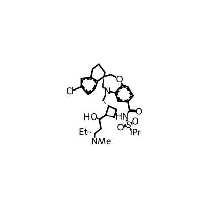 CC[C@H](C[C@H](O)[C@@H]1CC[C@H]1CN1C[C@@]2(CCCc3cc(Cl)ccc32)COc2ccc(C(=O)NS(=O)(=O)C(C)C)cc21)NC